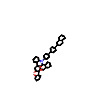 c1ccc(N(c2ccc(-c3ccc(-c4ccc5ccccc5c4)cc3)cc2)c2cccc3ccccc23)c(-c2ccc3c(c2)oc2ccccc23)c1